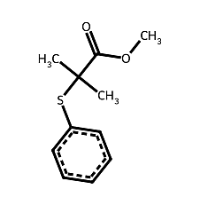 COC(=O)C(C)(C)Sc1ccccc1